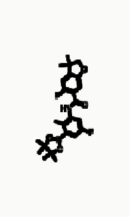 Cc1c(NC(=O)c2cc3c(cc2F)C(C)(C)CO3)cc(F)cc1B1OC(C)(C)C(C)(C)O1